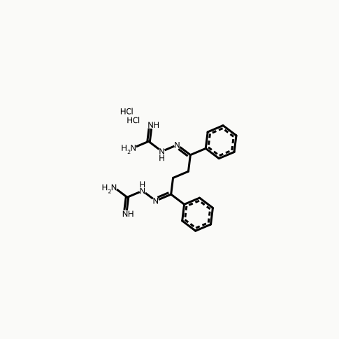 Cl.Cl.N=C(N)N/N=C(\CC/C(=N\NC(=N)N)c1ccccc1)c1ccccc1